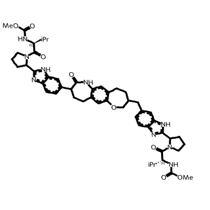 COC(=O)N[C@H](C(=O)N1CCCC1c1nc2ccc(C3CCc4cc5c(cc4NC3=O)CCC(Cc3ccc4nc(C6CCCN6C(=O)[C@H](NC(=O)OC)C(C)C)[nH]c4c3)CO5)cc2[nH]1)C(C)C